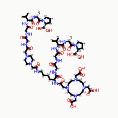 CC(C)[C@H](NC(=O)CNC(=O)CNC(=O)CN1CCN(CC(=O)NCCCCC(NC(=O)CN2CCN(CC(=O)O)CCN(CC(=O)O)CCN(CC(=O)O)CC2)C(=O)NCC(=O)NCC(=O)N[C@H](C(=O)N[C@H](C)C(=O)N2CCC[C@H]2B(O)O)C(C)C)CC1)C(=O)N[C@H](C)C(=O)N1CCC[C@H]1B(O)O